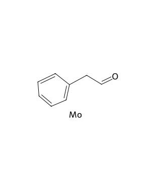 O=CCc1ccccc1.[Mo]